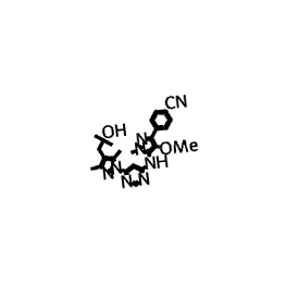 COc1c(-c2ccc(C#N)cc2)nn(C)c1Nc1cc(-n2nc(C)c(CC(C)(C)O)c2C)ncn1